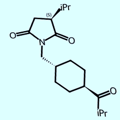 CC(C)C(=O)[C@H]1CC[C@H](CN2C(=O)C[C@@H](C(C)C)C2=O)CC1